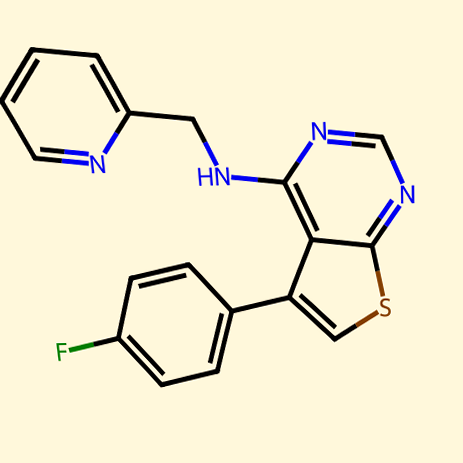 Fc1ccc(-c2csc3ncnc(NCc4ccccn4)c23)cc1